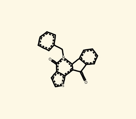 O=C1c2ccccc2-c2c1c1sccc1c(=O)n2Cc1ccccc1